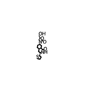 O=C1OC(CO)CN1c1ccc2cc(-c3cccs3)[nH]c(=O)c2c1